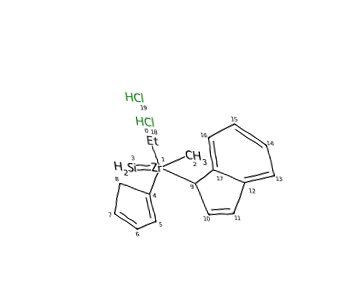 C[CH2][Zr]([CH3])(=[SiH2])([C]1=CC=CC1)[CH]1C=Cc2ccccc21.Cl.Cl